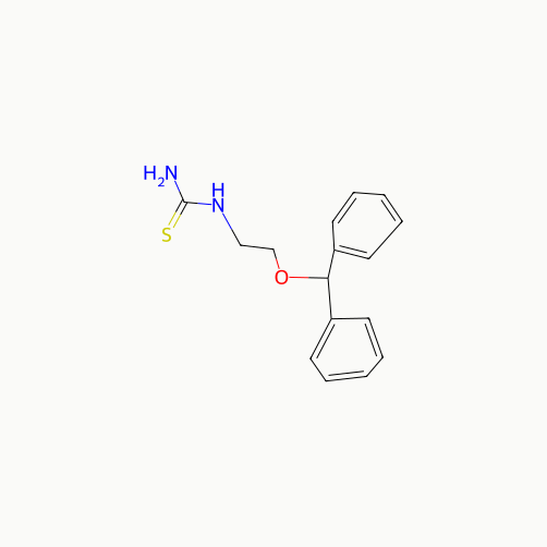 NC(=S)NCCOC(c1ccccc1)c1ccccc1